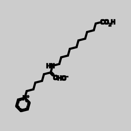 O=C(O)CCCCCCCCCCNC(=O)CCCCC[n+]1ccccc1.[OH-]